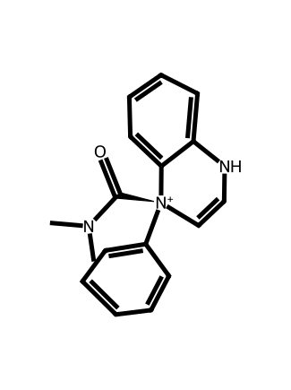 CN(C)C(=O)[N@+]1(c2ccccc2)C=CNc2ccccc21